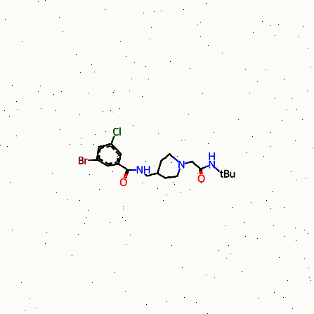 CC(C)(C)NC(=O)CN1CCC(CNC(=O)c2cc(Cl)cc(Br)c2)CC1